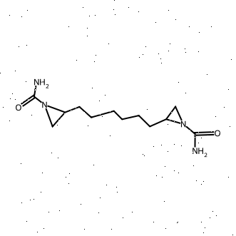 NC(=O)N1CC1CCCCCCC1CN1C(N)=O